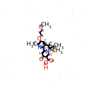 COCCCOc1cc2c(nc1C)-c1cc(=O)c(C(=O)O)cn1[C@@](S)(C(C)(C)C)C2